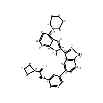 O=C(Nc1cncc(-c2cnc3[nH]nc(-c4nc5c(N6CCCCC6)ccnc5[nH]4)c3c2)c1)C1CCC1